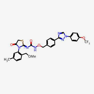 COCc1ccc(C)cc1N1C(=O)CS/C1=N\C(=O)NOCc1ccc(-c2ncn(-c3ccc(OC(F)(F)F)cc3)n2)cc1